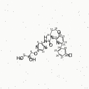 O=C(Nc1cnc(OC[C@H](O)CO)cn1)N1CCCOc2ccc(-c3cccc(Cl)c3)nc21